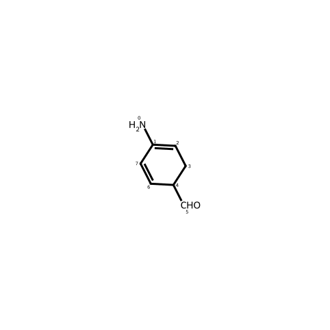 NC1=CCC(C=O)C=C1